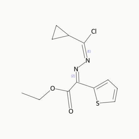 CCOC(=O)/C(=N/N=C(/Cl)C1CC1)c1cccs1